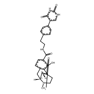 CN1CCC23CC(=O)CC[C@H]2[C@H]1Cc1ccc(C(=O)NCCc2ccc(-c4c[nH]c(=O)[nH]c4=O)cc2)c(O)c13